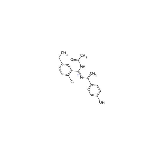 C=C(/N=C(\NC(C)=O)c1cc(CC)ccc1Cl)c1ccc(O)cc1